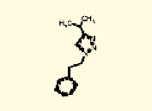 CC(C)c1cn(CCc2ccccc2)nn1